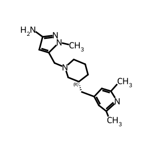 Cc1cc(C[C@H]2CCCN(Cc3cc(N)nn3C)C2)cc(C)n1